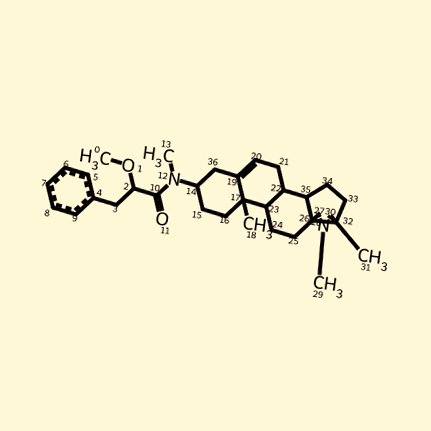 COC(Cc1ccccc1)C(=O)N(C)C1CCC2(C)C(=CCC3C2CCC24CN(C)C(C)C2CCC34)C1